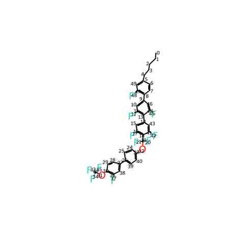 CCCCCc1ccc(-c2cc(F)c(-c3cc(F)c(C(F)(F)Oc4ccc(-c5ccc(OC(F)(F)F)c(F)c5)cc4)c(F)c3)c(F)c2)c(F)c1